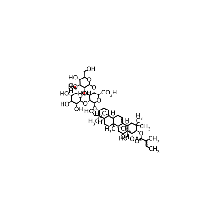 C/C=C(\C)C(=O)O[C@H]1[C@H](OC(C)=O)[C@]2(CO)[C@H](O)C[C@]3(C)C(=CC[C@@H]4[C@@]5(C)CC[C@H](O[C@@H]6O[C@H](C(=O)O)[C@@H](O[C@@H]7O[C@H](CO)[C@@H](O)[C@H](O)[C@H]7O)[C@H](O)[C@H]6O[C@@H]6O[C@H](CO)[C@@H](O)[C@H](O)[C@H]6O)[C@](C)(CO)[C@@H]5CC[C@]43C)[C@@H]2CC1(C)C